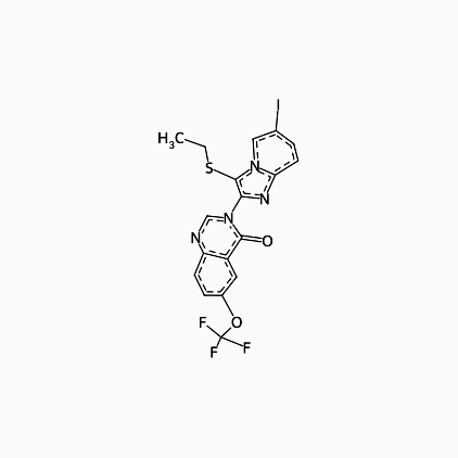 CCSc1c(-n2cnc3ccc(OC(F)(F)F)cc3c2=O)nc2ccc(I)cn12